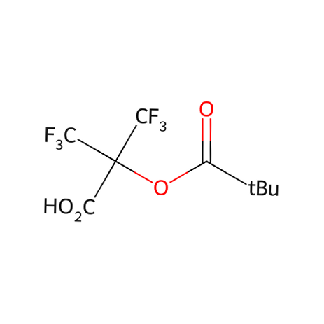 CC(C)(C)C(=O)OC(C(=O)O)(C(F)(F)F)C(F)(F)F